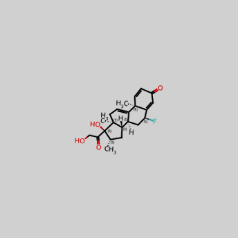 C[C@H]1C[C@H]2[C@@H]3C[C@H](F)C4=CC(=O)C=C[C@]4(C)C3=CC[C@]2(C)[C@@]1(O)C(=O)CO